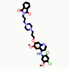 COc1cc(Nc2ccnc3cc(OCCCN4CCN(CCCN5C(=O)c6ccccc6C5=O)CC4)c(OC)cc23)c(Cl)cc1Cl